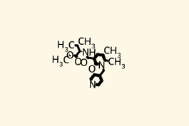 COC(=O)[C@@H](NC(=O)c1cc(C)c(C)n(Cc2ccncc2)c1=O)C(C)C